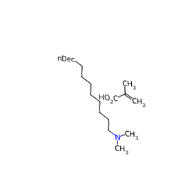 C=C(C)C(=O)O.CCCCCCCCCCCCCCCCCCN(C)C